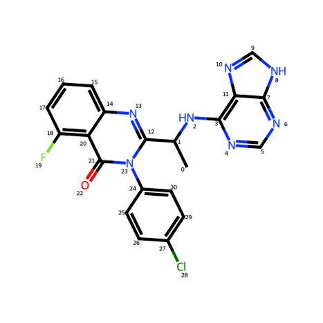 CC(Nc1ncnc2[nH]cnc12)c1nc2cccc(F)c2c(=O)n1-c1ccc(Cl)cc1